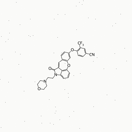 N#Cc1ccc(Oc2ccc3c(c2)Oc2cccc4c2C(=C3)C(=O)N4CCN2CCOCC2)c(C(F)(F)F)c1